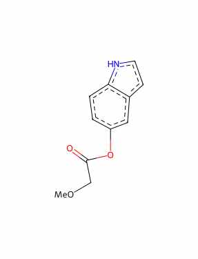 COCC(=O)Oc1ccc2[nH]ccc2c1